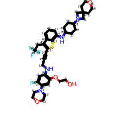 OCCOc1cc(N2CCOCC2)c(F)cc1NCC#Cc1sc2c(NC3CCC(N4CC5(CCOCC5)C4)CC3)cccc2c1CC(F)(F)F